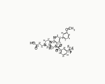 COc1cccc(-c2cnc3c(c2)N(S(=O)(=O)c2cccc(C(F)(F)F)c2)C[C@@H]2CN(CCC(=O)O)CCN32)c1